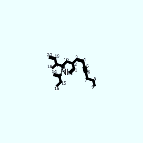 C=CC(/C=C\C#CCCC)CC(NC(=C)CC)C(C)C=C